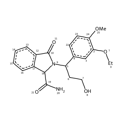 CCOc1cc(C(CCO)N2C(=O)c3[c]cccc3C2C(N)=O)ccc1OC